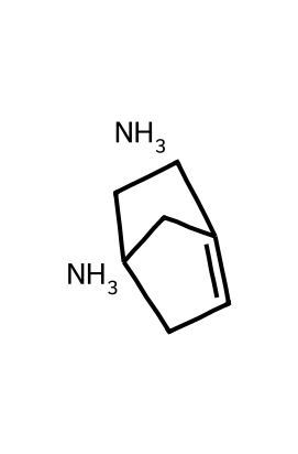 C1=C2CCC(C1)C2.N.N